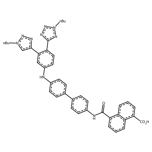 CCCCn1cc(-c2cc(Nc3ccc(-c4ccc(NC(=O)c5cccc6c(C(=O)O)cccc56)cc4)cc3)ccc2-c2nnn(CCCC)n2)nn1